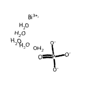 O.O.O.O.O.O=P([O-])([O-])[O-].[Bi+3]